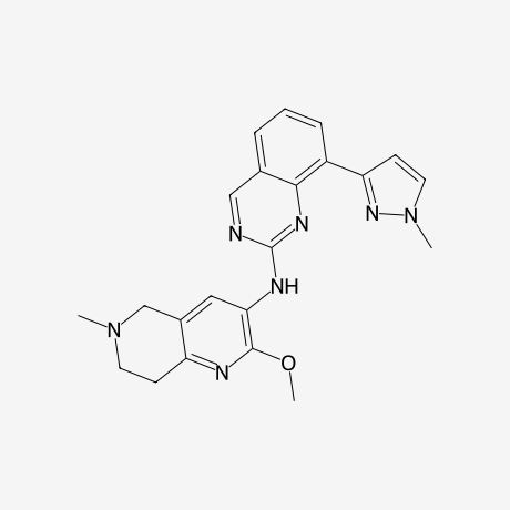 COc1nc2c(cc1Nc1ncc3cccc(-c4ccn(C)n4)c3n1)CN(C)CC2